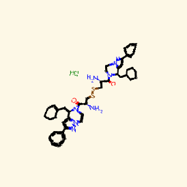 Cl.N[C@@H](CSSC[C@H](N)C(=O)N1CCn2nc(-c3ccccc3)cc2C1CC1CCCCC1)C(=O)N1CCn2nc(-c3ccccc3)cc2C1CC1CCCCC1